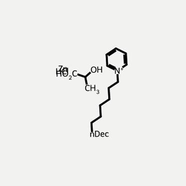 CC(O)C(=O)O.CCCCCCCCCCCCCCCC[n+]1ccccc1.Cl.[Zn]